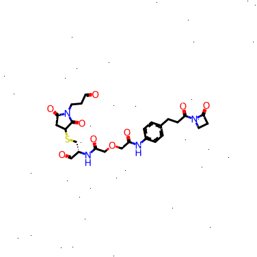 O=CCCN1C(=O)CC(SC[C@@H](C=O)NC(=O)COCC(=O)Nc2ccc(CCC(=O)N3CCC3=O)cc2)C1=O